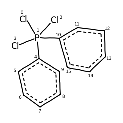 ClP(Cl)(Cl)(c1ccccc1)c1ccccc1